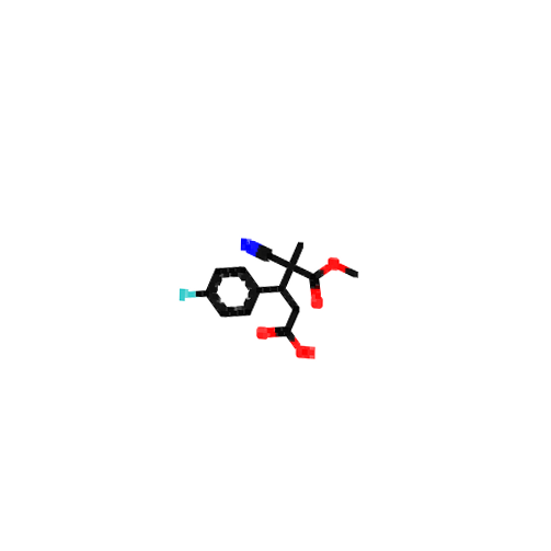 COC(=O)C(C)(C#N)C(CC(=O)O)c1ccc(F)cc1